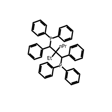 CCCC(CC)(C(c1ccccc1)P(c1ccccc1)c1ccccc1)C(c1ccccc1)P(c1ccccc1)c1ccccc1